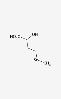 C[Se]CCC(O)C(=O)O